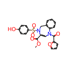 COC(=O)C1=CN(C(=O)c2ccco2)c2ccccc2CN1S(=O)(=O)c1ccc(O)cc1